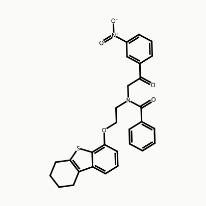 O=C(CN(CCOc1cccc2c3c(sc12)CCCC3)C(=O)c1ccccc1)c1cccc([N+](=O)[O-])c1